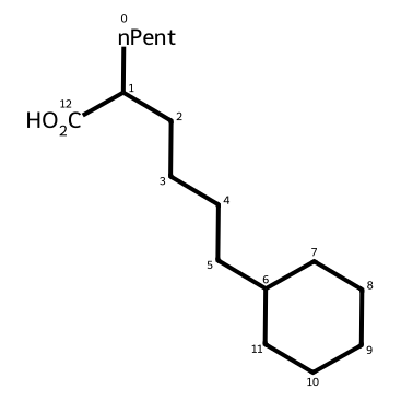 CCCCCC(CCCCC1CCCCC1)C(=O)O